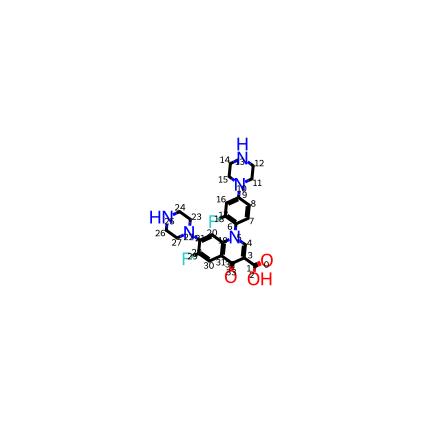 O=C(O)c1cn(-c2ccc(N3CCNCC3)cc2F)c2cc(N3CCNCC3)c(F)cc2c1=O